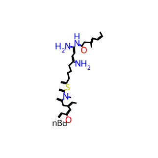 C=C/C(=C\C(=C/C)CC(=C)N(C)C(=C)SC(=C)CCCC/C(N)=C/C=C(\N)NC(=O)C/C(C)=C/C=C\C)OCCCC